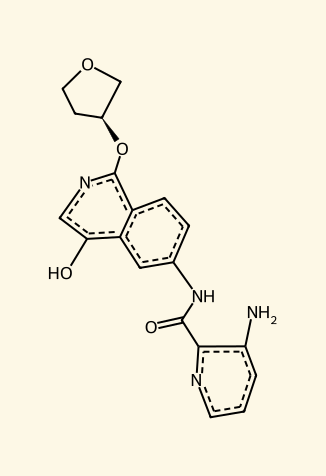 Nc1cccnc1C(=O)Nc1ccc2c(O[C@H]3CCOC3)ncc(O)c2c1